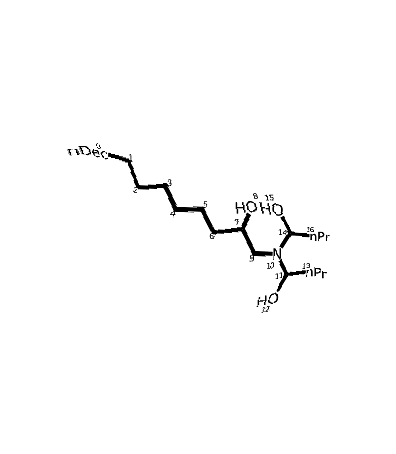 CCCCCCCCCCCCCCCCC(O)CN(C(O)CCC)C(O)CCC